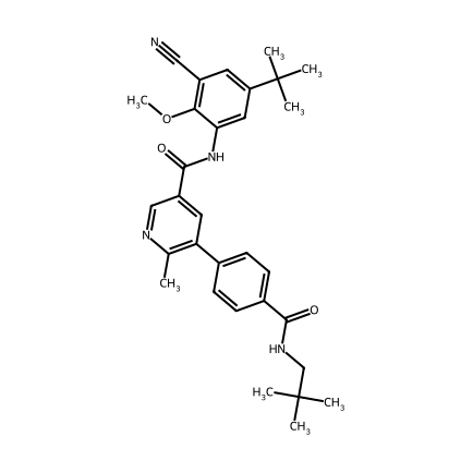 COc1c(C#N)cc(C(C)(C)C)cc1NC(=O)c1cnc(C)c(-c2ccc(C(=O)NCC(C)(C)C)cc2)c1